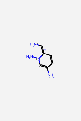 N/C=C1/C=CC(N)=CN1N